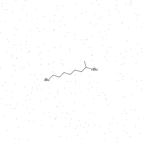 [CH2]CC(C)CCCCCCC(C)CCCC